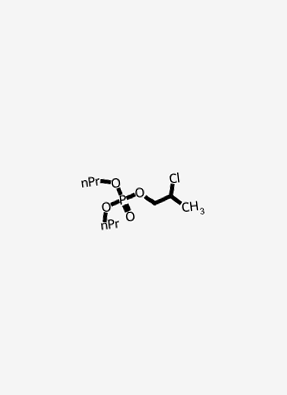 CCCOP(=O)(OCCC)OCC(C)Cl